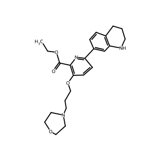 CCOC(=O)c1nc(-c2ccc3c(c2)NCCC3)ccc1OCCCN1CCOCC1